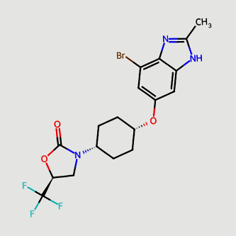 Cc1nc2c(Br)cc(O[C@H]3CC[C@@H](N4C[C@@H](C(F)(F)F)OC4=O)CC3)cc2[nH]1